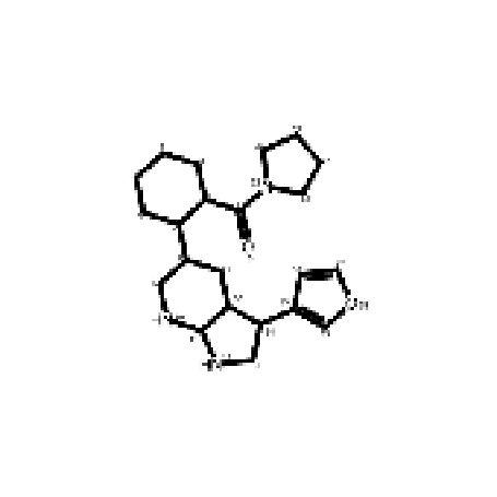 O=C(C1CCCCC1C1CNC2NCC(c3ccoc3)C2C1)N1CCCC1